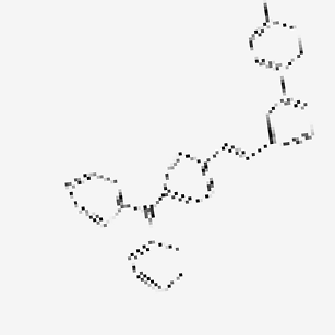 Brc1ccc(-c2[c]c(C=Cc3ccc(N(c4ccccc4)c4ccccc4)cc3)ccc2)cc1